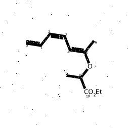 C=C/C=C\C=C(/C)OC(C)C(=O)OCC